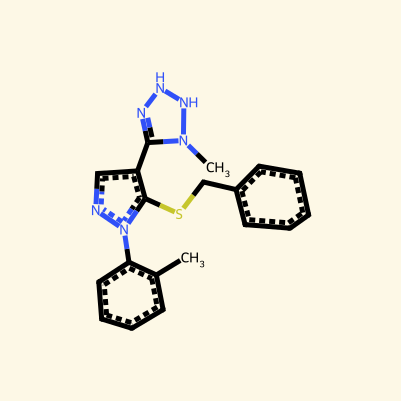 Cc1ccccc1-n1ncc(C2=NNNN2C)c1SCc1ccccc1